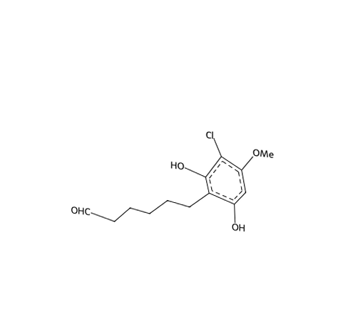 COc1cc(O)c(CCCCCC=O)c(O)c1Cl